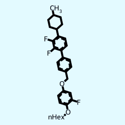 CCCCCCOc1ccc(OCc2ccc(-c3ccc(C4CCC(C)CC4)c(F)c3F)cc2)cc1F